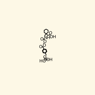 O=C(O)CC1(CNC(=O)OCOC(=O)c2ccc(CON(O)O)cc2)CCCCC1